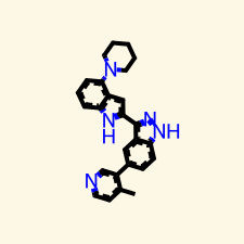 Cc1ccncc1-c1ccc2[nH]nc(-c3cc4c(N5CCCCC5)cccc4[nH]3)c2c1